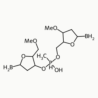 BC1CC(OC)C(CO[PH](C)(O)OC2CC(B)OC2COC)O1